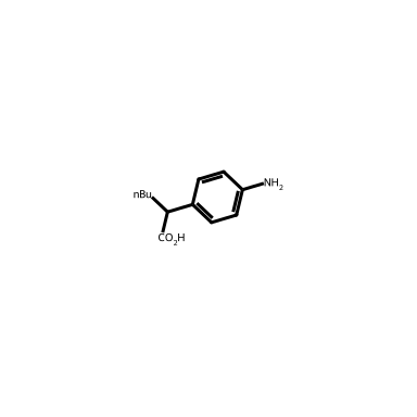 CCCCC(C(=O)O)c1ccc(N)cc1